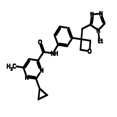 CCn1cnnc1CC1(c2cccc(NC(=O)c3cc(C)nc(C4CC4)n3)c2)COC1